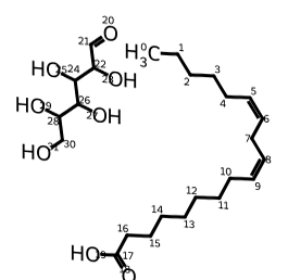 CCCCC/C=C\C/C=C\CCCCCCCC(=O)O.O=CC(O)C(O)C(O)C(O)CO